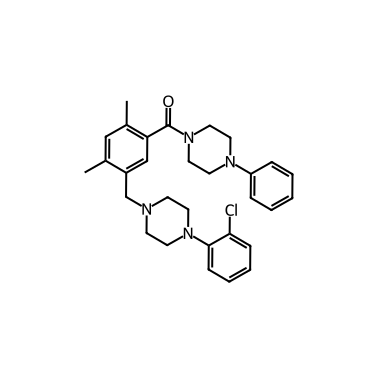 Cc1cc(C)c(C(=O)N2CCN(c3ccccc3)CC2)cc1CN1CCN(c2ccccc2Cl)CC1